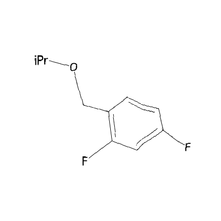 CC(C)OCc1ccc(F)cc1F